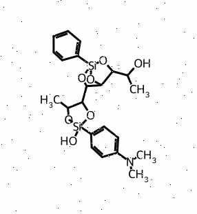 CC(O)C1O[Si]2(c3ccccc3)OC1C(C1O[Si](O)(c3ccc(N(C)C)cc3)OC1C)O2